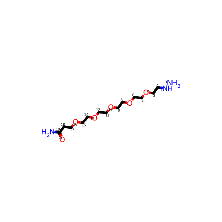 NNCCOCCOCCOCCOCCOCCC(N)=O